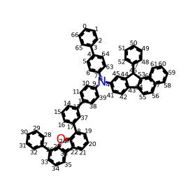 c1ccc(-c2ccc(N(c3ccc(-c4cccc(-c5cccc6c5oc5c(-c7ccccc7)cccc56)c4)cc3)c3ccc4c(c3)C(c3ccccc3)c3c-4ccc4ccccc34)cc2)cc1